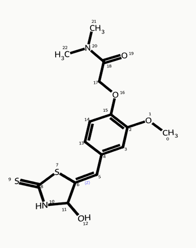 COc1cc(/C=C2\SC(=S)NC2O)ccc1OCC(=O)N(C)C